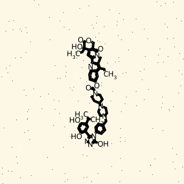 CCc1c2c(nc3ccc(OC(=O)N4CCC(N5CCN(Cc6ccc(-n7c(O)nnc7-c7cc(C(C)C)c(O)cc7O)cc6)CC5)CC4)cc13)-c1cc3c(c(=O)n1C2)COC(=O)C3(O)CC